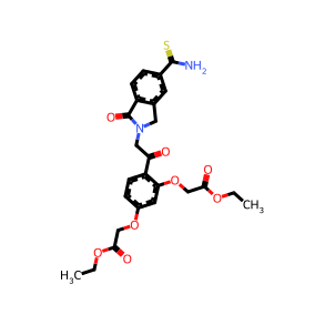 CCOC(=O)COc1ccc(C(=O)CN2Cc3cc(C(N)=S)ccc3C2=O)c(OCC(=O)OCC)c1